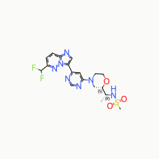 C[C@@H](NS(C)(=O)=O)[C@@H]1CN(c2cc(-c3cnc4ccc(C(F)F)nn34)ncn2)CCO1